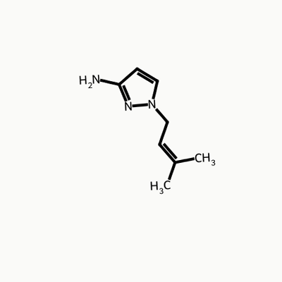 CC(C)=CCn1ccc(N)n1